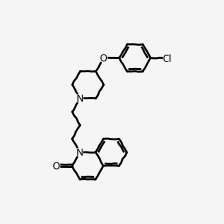 O=c1ccc2ccccc2n1CCCN1CCC(Oc2ccc(Cl)cc2)CC1